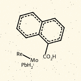 O=C(O)c1cccc2ccccc12.[Mo][Re].[PbH2]